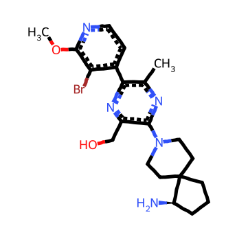 COc1nccc(-c2nc(CO)c(N3CCC4(CCC[C@H]4N)CC3)nc2C)c1Br